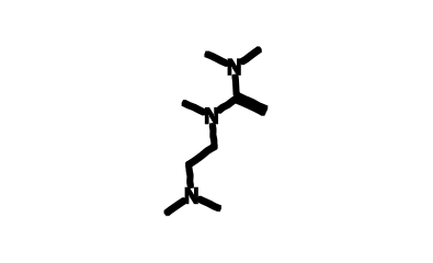 C=C(N(C)C)N(C)CCN(C)C